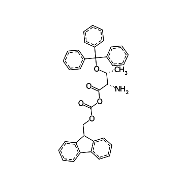 C[C@@H](OC(c1ccccc1)(c1ccccc1)c1ccccc1)[C@H](N)C(=O)OC(=O)OCC1c2ccccc2-c2ccccc21